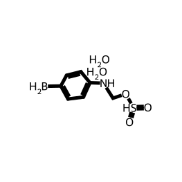 Bc1ccc(NCO[SH](=O)=O)cc1.O.O